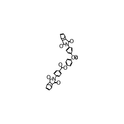 O=C(Oc1cc[c]([Co](=[O])[c]2ccc(N3C(=O)C4C5C=CC(C5)C4C3=O)cc2)cc1)c1ccc(N2C(=O)C3C4C=CC(C4)C3C2=O)cc1